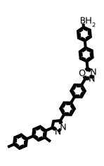 Bc1ccc(-c2ccc(-c3nnc(-c4ccc(-c5ccc(C6=NN=C(c7ccc(-c8ccc(C)cc8)cc7C)C6)cc5)cc4)o3)cc2)cc1